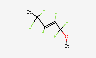 CCOC(F)(F)/C(F)=C(\F)C(F)(F)CC